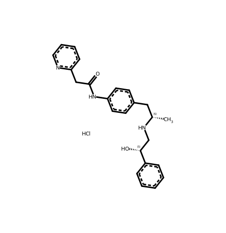 C[C@@H](Cc1ccc(NC(=O)Cc2ccccn2)cc1)NC[C@@H](O)c1ccccc1.Cl